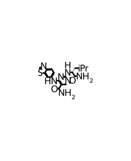 CC(C)C[C@@H](Nc1ncc(C(N)=O)c(Nc2ccc3ncsc3c2)n1)C(N)=O